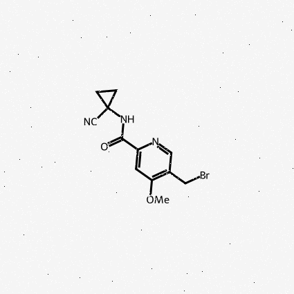 COc1cc(C(=O)NC2(C#N)CC2)ncc1CBr